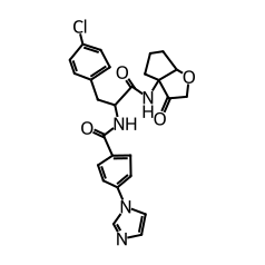 O=C(NC(Cc1ccc(Cl)cc1)C(=O)NC12CCCC1OCC2=O)c1ccc(-n2ccnc2)cc1